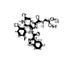 CCOC(CNC(=O)c1nc(NC(=O)c2nsc3ccccc23)c2n1CC(=O)N[C@H]2c1cc(F)ccc1Cl)OCC